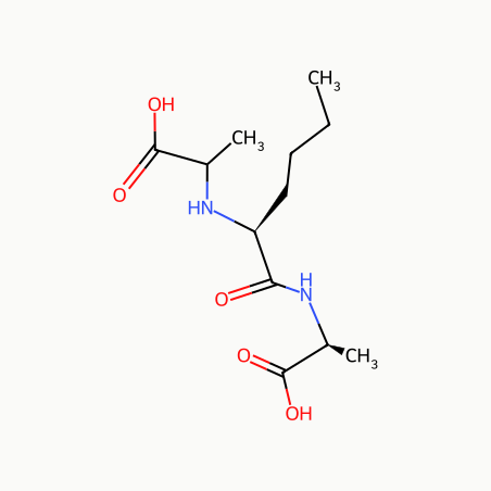 CCCC[C@H](NC(C)C(=O)O)C(=O)N[C@@H](C)C(=O)O